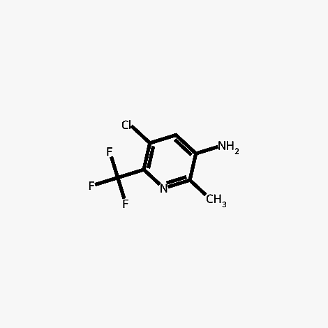 Cc1nc(C(F)(F)F)c(Cl)cc1N